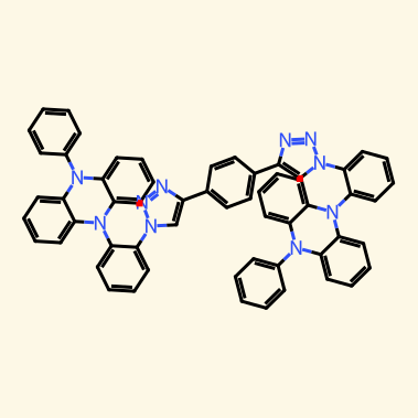 c1ccc(N2c3ccccc3N(c3ccccc3-n3cc(-c4ccc(-c5cn(-c6ccccc6N6c7ccccc7N(c7ccccc7)c7ccccc76)nn5)cc4)nn3)c3ccccc32)cc1